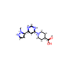 Cn1nccc1-c1cc(N2CCC(C(=O)O)CC2)ncn1